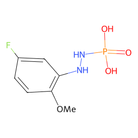 COc1ccc(F)cc1NNP(=O)(O)O